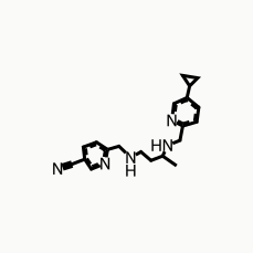 CC(CCNCc1ccc(C#N)cn1)NCc1ccc(C2CC2)cn1